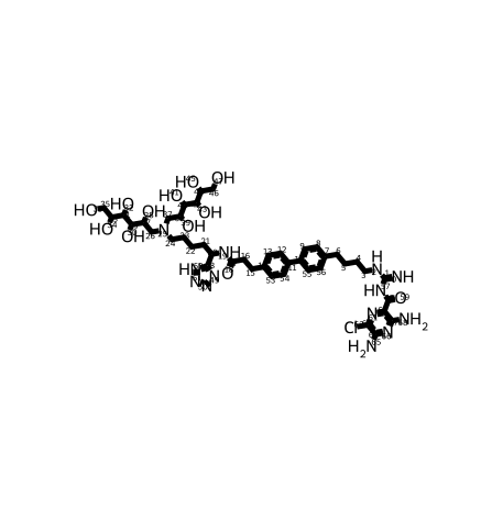 N=C(NCCCCc1ccc(-c2ccc(CCC(=O)NC(CCCCN(CC(O)C(O)C(O)C(O)CO)CC(O)C(O)C(O)C(O)CO)c3nnn[nH]3)cc2)cc1)NC(=O)c1nc(Cl)c(N)nc1N